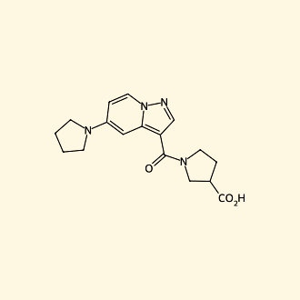 O=C(O)C1CCN(C(=O)c2cnn3ccc(N4CCCC4)cc23)C1